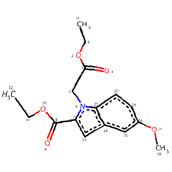 CCOC(=O)Cn1c(C(=O)OCC)cc2cc(OC)ccc21